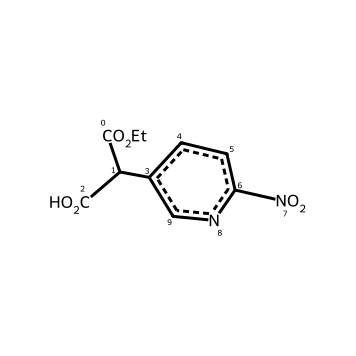 CCOC(=O)C(C(=O)O)c1ccc([N+](=O)[O-])nc1